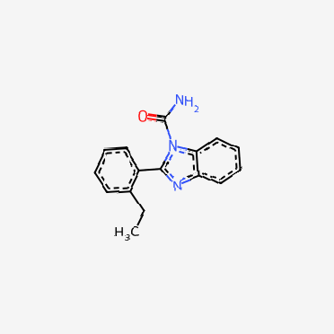 CCc1ccccc1-c1nc2ccccc2n1C(N)=O